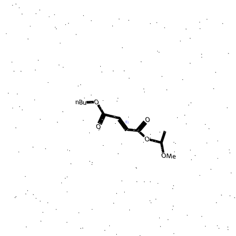 CCCCOC(=O)/C=C/C(=O)OC(C)OC